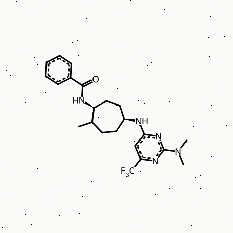 CC1CC[C@H](Nc2cc(C(F)(F)F)nc(N(C)C)n2)CC[C@@H]1NC(=O)c1ccccc1